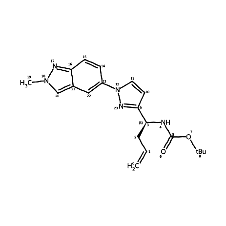 C=CC[C@H](NC(=O)OC(C)(C)C)c1ccn(-c2ccc3nn(C)cc3c2)n1